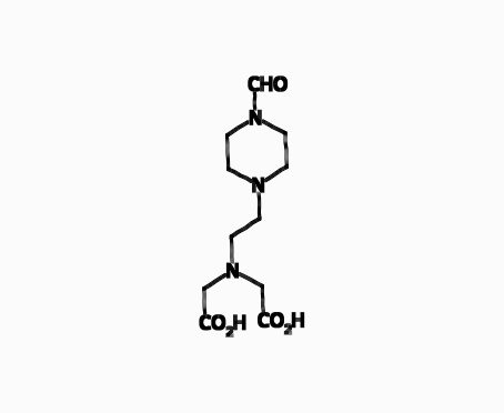 O=CN1CCN(CCN(CC(=O)O)CC(=O)O)CC1